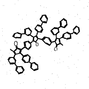 CC1=C(c2cccc(-c3ccccc3)c2)C(c2ccc(-c3ccccc3)cc2)=C(c2ccc(C3=C(c4cccc(-c5ccccc5)c4)C(c4ccc(-c5ccccc5)cc4)=C(c4ccc(C5=C(c6cccc(-c7ccccc7)c6)C(c6ccc(-c7ccccc7)cc6)=C(C)C5=O)cc4)C3=O)cc2)C1=O